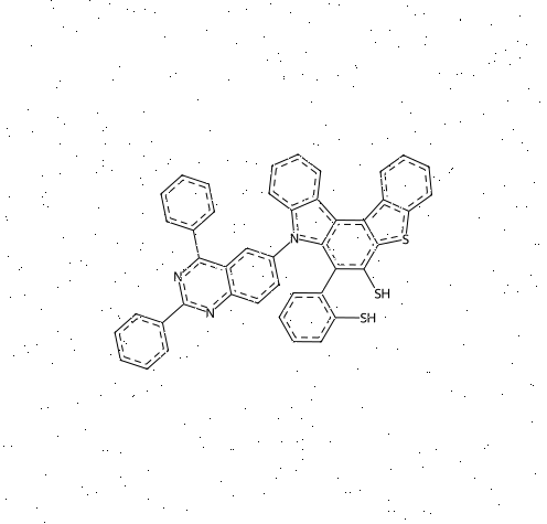 Sc1ccccc1-c1c(S)c2sc3ccccc3c2c2c3ccccc3n(-c3ccc4nc(-c5ccccc5)nc(-c5ccccc5)c4c3)c12